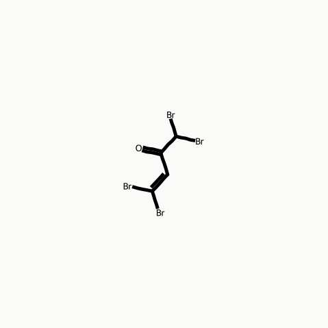 O=C(C=C(Br)Br)C(Br)Br